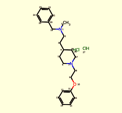 CN(CCC1CCN(CCOc2ccccc2)CC1)Cc1ccccc1.Cl.Cl